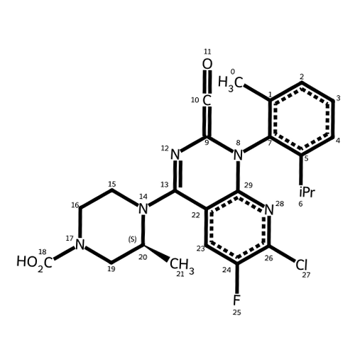 Cc1cccc(C(C)C)c1N1C(=C=O)N=C(N2CCN(C(=O)O)C[C@@H]2C)c2cc(F)c(Cl)nc21